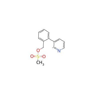 CS(=O)(=O)OCc1ccccc1-c1[c]nccc1